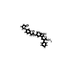 NC(=O)C(=Cc1c[nH]c2ncc(NC(=O)Cc3ccc(N4CCCC4=O)cc3)cc12)c1ccccc1